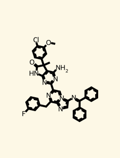 COc1cc(C2(C)C(=O)Nc3nc(-c4cn5c(N=C(c6ccccc6)c6ccccc6)cnc5c(Cc5cccc(F)c5)n4)nc(N)c32)ccc1Cl